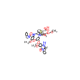 C=C=Nc1cc(Oc2cc(COc3cc4c(cc3OC)C(=O)N3c5ccccc5C[C@H]3CN4)cc(N(CCOCCOCCOC)CC(C)(C=C)SCCCC(=O)O)c2)c(OC)cc1C(=O)N1CCc2ccccc21